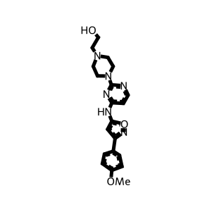 COc1ccc(-c2cc(Nc3ccnc(N4CCN(CCO)CC4)n3)on2)cc1